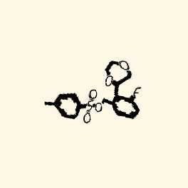 Cc1ccc(S(=O)(=O)OCc2cccc(F)c2C2COCCO2)cc1